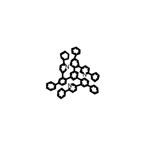 C1=CCCC(c2ccc(-c3cc(-c4ccccc4)ccc3-c3cc(-c4ccc(-c5ccccc5)cc4-c4ccc(-c5ccccc5)nc4)cc(-c4ccc(-c5ccccc5)cc4-c4ccc(-c5ccccc5)nc4)c3)cn2)=C1